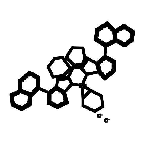 C1=C(C2CCCCC2)[CH]([Zr+2]2([CH]3C(C4CCCCC4)=Cc4c(-c5cccc6ccccc56)cccc43)[CH]3CCCC[CH]32)c2cccc(-c3cccc4ccccc34)c21.[Cl-].[Cl-]